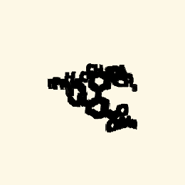 CCCN1CCN(c2ccc(C(=O)OC)cc2C2CC(C)(C)CC(C)(C)C2)CC1.Cl